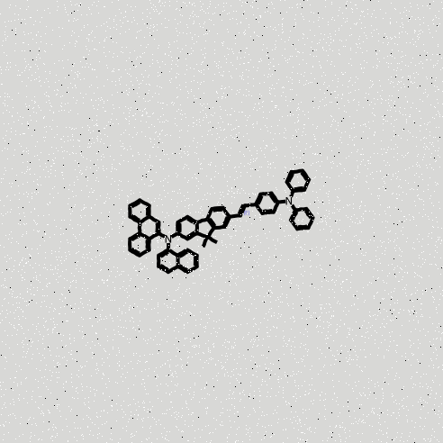 CC1(C)c2cc(/C=C/c3ccc(N(c4ccccc4)c4ccccc4)cc3)ccc2-c2ccc(N(c3cccc4ccccc34)c3cc4ccccc4c4ccccc34)cc21